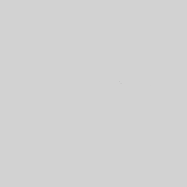 CCC1C(c2ccccc2)=CC(c2ccc3c(c2)c2ccccc2c2cccc(-c4ccc5c(c4)-c4ccccc4C54c5ccccc5-c5ccccc54)c23)=NC1c1ccccc1